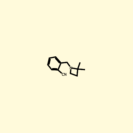 CC1(C)CCN1Cc1ccccc1C#N